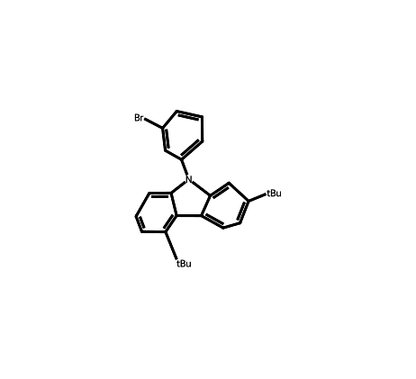 CC(C)(C)c1ccc2c3c(C(C)(C)C)cccc3n(-c3cccc(Br)c3)c2c1